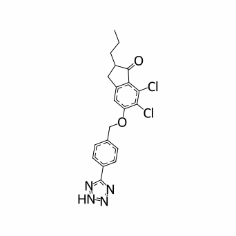 CCCC1Cc2cc(OCc3ccc(-c4nn[nH]n4)cc3)c(Cl)c(Cl)c2C1=O